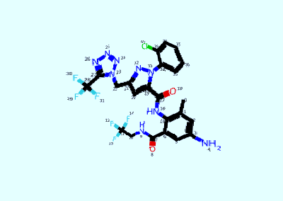 Cc1cc(N)cc(C(=O)NCC(F)(F)F)c1NC(=O)c1cc(Cn2nnnc2C(F)(F)F)nn1-c1ccccc1Cl